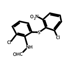 O=CNc1c(Cl)cccc1Sc1c(Cl)cccc1[N+](=O)[O-]